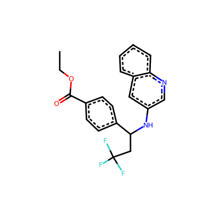 CCOC(=O)c1ccc(C(CC(F)(F)F)Nc2cnc3ccccc3c2)cc1